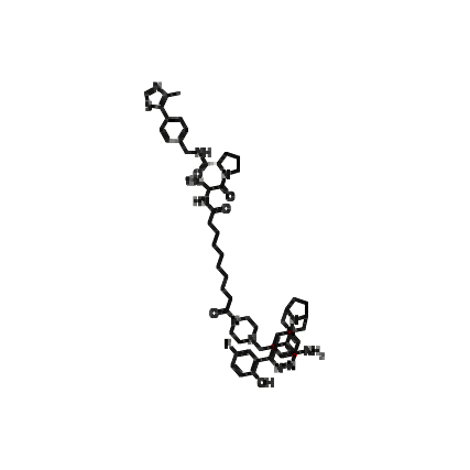 Cc1ncsc1-c1ccc(CNC(=O)[C@@H]2CCCN2C(=O)C(NC(=O)CCCCCCCCC(=O)N2CCN(Cc3cccc(N4C5CCC4CN(c4cc(-c6cc(F)ccc6O)nnc4N)C5)c3)CC2)C(C)(C)C)cc1